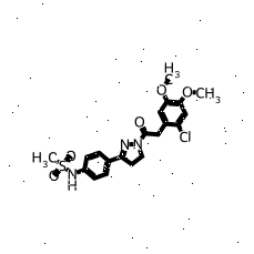 COc1cc(Cl)c(CC(=O)N2CCC(c3ccc(NS(C)(=O)=O)cc3)=N2)cc1OC